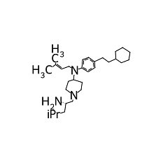 CC(C)=CCN(c1ccc(CCC2CCCCC2)cc1)C1CCN(C[C@@H](N)CC(C)C)CC1